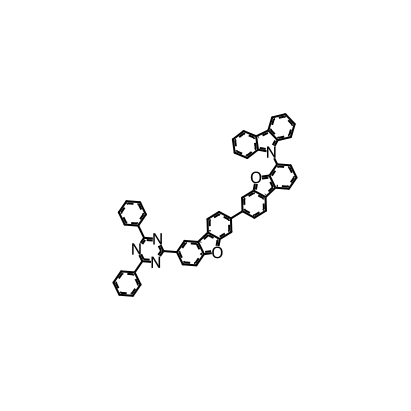 c1ccc(-c2nc(-c3ccccc3)nc(-c3ccc4oc5cc(-c6ccc7c(c6)oc6c(-n8c9ccccc9c9ccccc98)cccc67)ccc5c4c3)n2)cc1